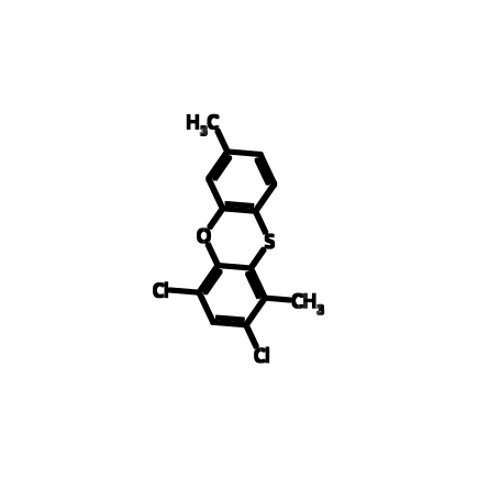 Cc1ccc2c(c1)Oc1c(Cl)cc(Cl)c(C)c1S2